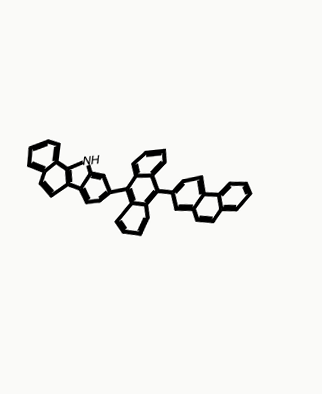 c1ccc2c(c1)ccc1cc(-c3c4ccccc4c(-c4ccc5c(c4)[nH]c4c6ccccc6ccc54)c4ccccc34)ccc12